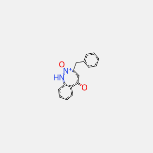 O=c1cc(Cc2ccccc2)[n+](=O)[nH]c2ccccc12